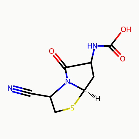 N#CC1CS[C@@H]2CC(NC(=O)O)C(=O)N12